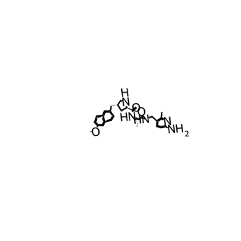 COc1ccc2cc(C[C@@H]3CN[C@@H](C(=O)N[C@@H](C)C(=O)NCc4ccc(N)nc4C)C3)ccc2c1